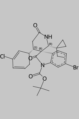 CCC1([C@H]2NC(=O)C[C@@H](C3C=C(Cl)C=CC3)[C@]23C(=O)N(C(=O)OC(C)(C)C)c2cc(Br)ccc23)CC1